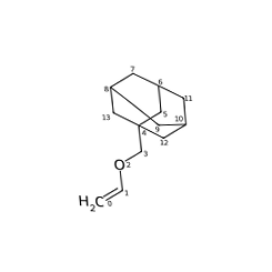 C=COCC12CC3CC(CC(C3)C1)C2